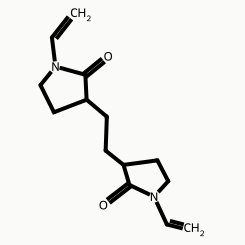 C=CN1CCC(CCC2CCN(C=C)C2=O)C1=O